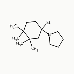 CCC1(N2CCCC2)CCC(C)(C)C(C)(C)C1